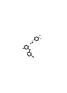 Cc1cc(S(C)(=O)=O)ccc1NC(=O)COc1ccc(Cl)cc1C(=O)c1cccc(C#N)c1